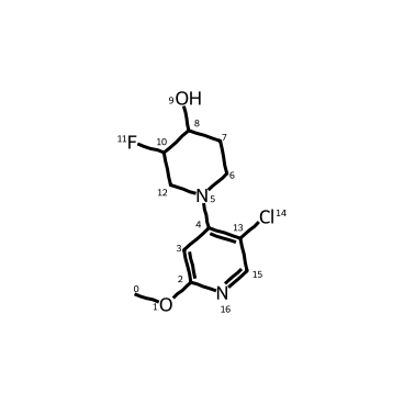 COc1cc(N2CCC(O)C(F)C2)c(Cl)cn1